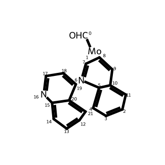 O=[CH][Mo].c1ccc2ncccc2c1.c1ccc2ncccc2c1